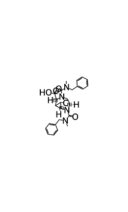 CN(Cc1ccccc1)C(=O)N1C[C@@H]2CC3C([C@@H]3N2C(=O)N(C)Cc2ccccc2)[C@H]1C(=O)O